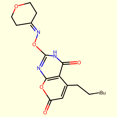 CCC(C)CCc1cc(=O)oc2nc(ON=C3CCOCC3)[nH]c(=O)c12